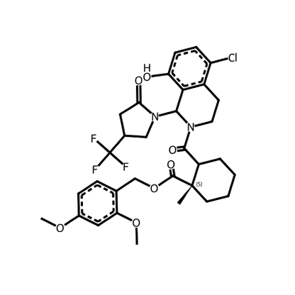 COc1ccc(COC(=O)[C@@]2(C)CCCCC2C(=O)N2CCc3c(Cl)ccc(O)c3C2N2CC(C(F)(F)F)CC2=O)c(OC)c1